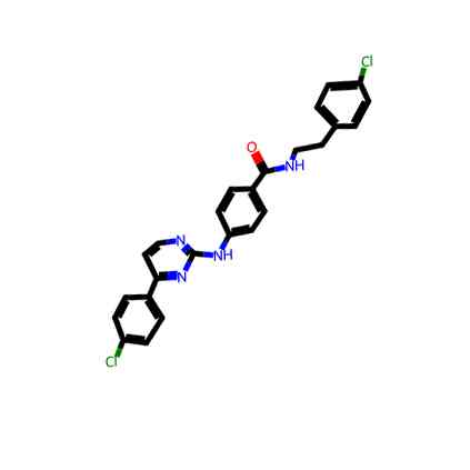 O=C(NCCc1ccc(Cl)cc1)c1ccc(Nc2nccc(-c3ccc(Cl)cc3)n2)cc1